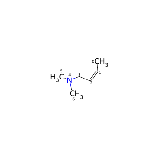 C/C=C\CN(C)C